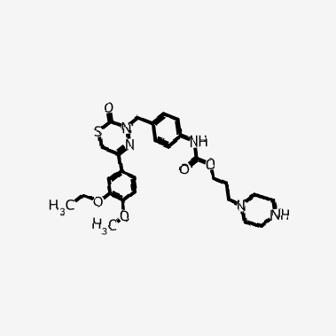 CCOc1cc(C2=NN(Cc3ccc(NC(=O)OCCCN4CCNCC4)cc3)C(=O)SC2)ccc1OC